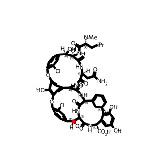 C=C1N[C@@H](CC(N)=O)C(=O)N[C@H]2C(=O)N[C@H]3C(=O)N[C@H](C(=O)N[C@H](C(=O)O)c4cc(O)cc(O)c4[C@@H]4C=CC=C3C4)[C@H](O)c3ccc(c(Cl)c3)Oc3cc2cc(c3O)Oc2ccc(cc2Cl)[C@@H](O)[C@H]1NC(=O)[C@@H](CC(C)C)NC